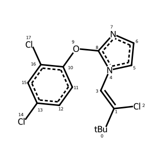 CC(C)(C)C(Cl)=Cn1ccnc1Oc1ccc(Cl)cc1Cl